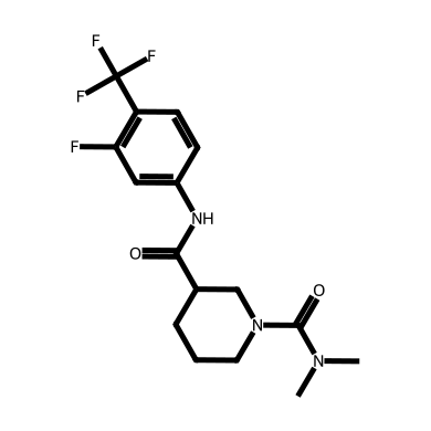 CN(C)C(=O)N1CCCC(C(=O)Nc2ccc(C(F)(F)F)c(F)c2)C1